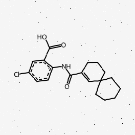 O=C(Nc1ccc(Cl)cc1C(=O)O)C1=CC2(CCCCC2)CCC1